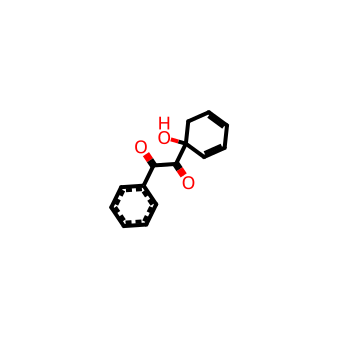 O=C(C(=O)C1(O)C=CC=CC1)c1ccccc1